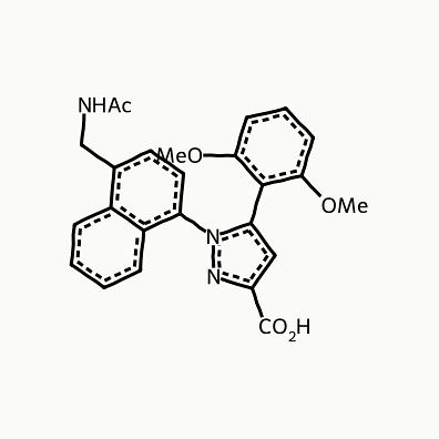 COc1cccc(OC)c1-c1cc(C(=O)O)nn1-c1ccc(CNC(C)=O)c2ccccc12